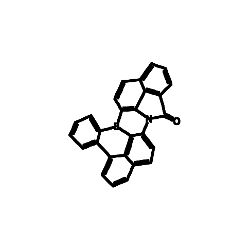 O=C1c2cccc3ccc4c(c23)N1c1ccc2cccc3c2c1B4c1ccccc1-3